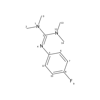 CN(C)C(=Nc1ccc(F)cc1)N(C)C